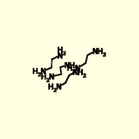 NCCN.NCCN.NCCN.NCCN